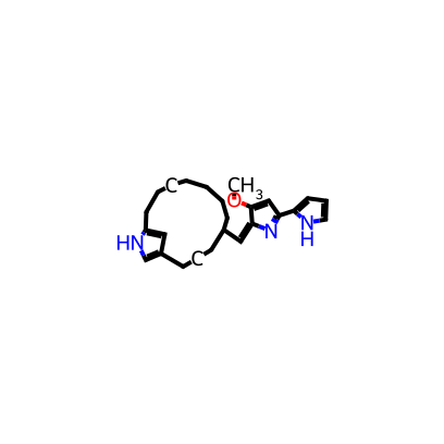 COC1=CC(c2ccc[nH]2)=N/C1=C/C1CCCCCCCc2cc(c[nH]2)CCC1